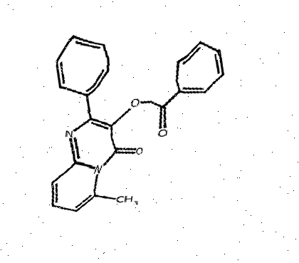 Cc1cccc2nc(-c3ccccc3)c(OC(=O)c3ccccc3)c(=O)n12